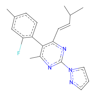 Cc1ccc(-c2c(C)nc(-n3cccn3)nc2C=CC(C)C)c(F)c1